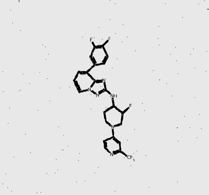 Fc1ccc(-c2cccn3nc(NC4CCN(c5ccnc(C(F)(F)F)c5)CC4F)nc23)cc1F